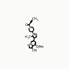 CC#CC(=O)N1CCC(n2ncc(-c3cc(OC)c4c(C#N)cnn4c3)c2C)CC1